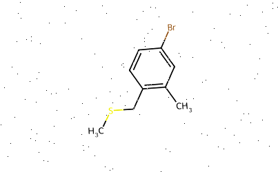 CSCc1ccc(Br)cc1C